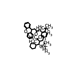 C[SiH](C)OC(C1CCCCC1)C(Cc1ccc(C(C)(C)C)c(NC(=O)CC2c3ccccc3Oc3ccccc32)c1)C(C)(C)C